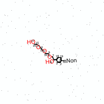 CCCCCCCCCc1ccc(C(O)COCCOCCOCCO)cc1